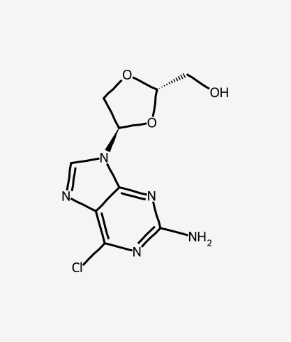 Nc1nc(Cl)c2ncn([C@H]3CO[C@H](CO)O3)c2n1